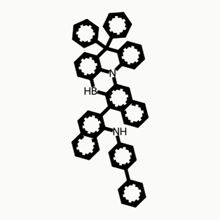 B1c2cccc3c2N(c2ccccc2C3(c2ccccc2)c2ccccc2)c2cc3ccccc3c(-c3ccc4ccccc4c3Nc3ccc(-c4ccccc4)cc3)c21